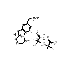 COCc1cnc2c(c1)C[C@@H]1CNC[C@@H](C)N21.O=C(O)C(F)(F)F.O=C(O)C(F)(F)F